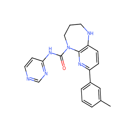 Cc1cccc(-c2ccc3c(n2)N(C(=O)Nc2ccncn2)CCCN3)c1